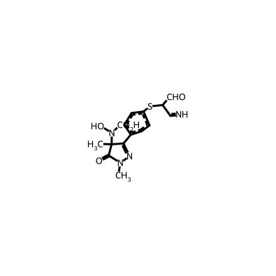 CN1N=C(c2ccc(SC(C=N)C=O)cc2)C(C)(N(O)C(=O)O)C1=O